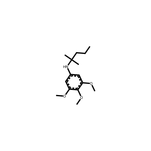 CCCC(C)(C)Nc1cc(OC)c(OC)c(OC)c1